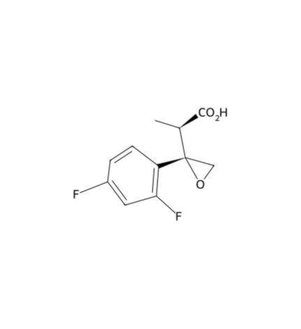 C[C@@H](C(=O)O)[C@]1(c2ccc(F)cc2F)CO1